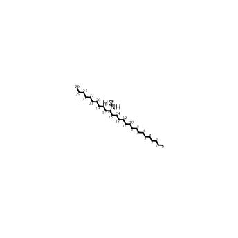 CCCCCCCCCCCCCCCCC(CCCCCCCCCC)NO